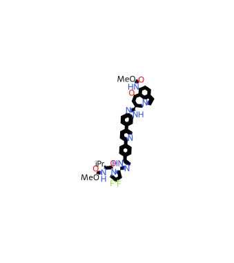 COC(=O)N[C@H]1CCc2ccn3c2C1C(=O)C[C@H](c1nc2ccc(-c4ccc(-c5ccc(-c6cnc([C@@H]7CC(F)(F)CN7C(=O)[C@@H](NC(=O)OC)C(C)C)[nH]6)cc5)nc4)cc2[nH]1)C3